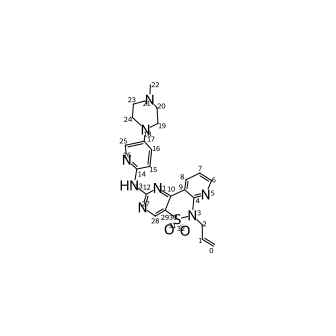 C=CCN1c2ncccc2-c2nc(Nc3ccc(N4CCN(C)CC4)cn3)ncc2S1(=O)=O